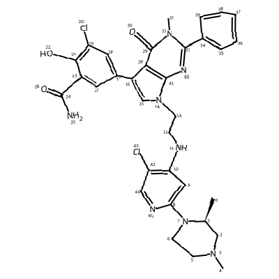 C[C@H]1CN(C)CCN1c1cc(NCCn2cc(-c3cc(Cl)c(O)c(C(N)=O)c3)c3c(=O)n(C)c(-c4ccccc4)nc32)c(Cl)cn1